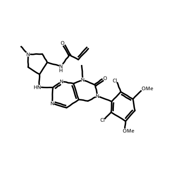 C=CC(=O)NC1CN(C)CC1Nc1ncc2c(n1)N(C)C(=O)N(c1c(Cl)c(OC)cc(OC)c1Cl)C2